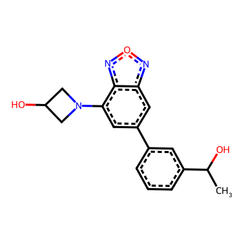 CC(O)c1cccc(-c2cc(N3CC(O)C3)c3nonc3c2)c1